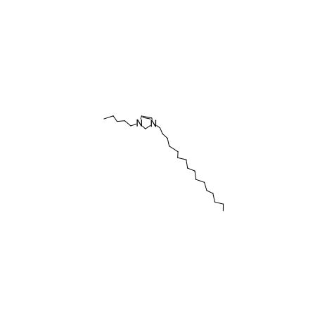 CCCCCCCCCCCCCCCCN1C=CN(CCCCC)C1